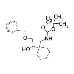 CC(C)(C)OC(=O)NCC1(C(O)COCc2ccccc2)CCCCC1